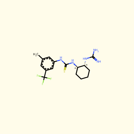 Cc1cc(NC(=S)N[C@@H]2CCCC[C@H]2NC(=N)N)cc(C(F)(F)F)c1